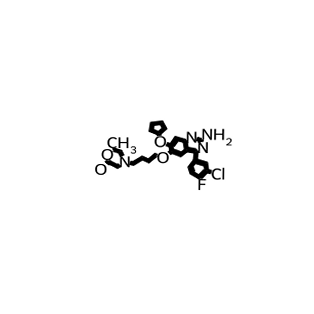 C[C@@H]1CN(CCCCOc2cc3c(-c4ccc(F)c(Cl)c4)nc(N)nc3cc2OC2CCCC2)CC(=O)O1